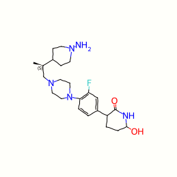 C[C@H](CN1CCN(c2ccc(C3CCC(O)NC3=O)cc2F)CC1)C1CCN(N)CC1